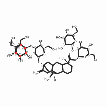 C=C1CC2C3CC4C(CCC[C@@]4(C)C(=O)O[C@@H]4O[C@H](CO)[C@@H](O)[C@H](O)[C@H]4O[C@@H]4O[C@H](CO)[C@@H](O)[C@H](O)[C@H]4O)C2[C@@H](C)C[C@]1(O[C@@H]1O[C@H](CO)[C@@H](O)[C@H](O[C@@H]2O[C@H](CO)[C@@H](O)[C@H](O)[C@H]2O)[C@H]1O[C@@H]1O[C@H](CO)[C@@H](O)[C@H](O)[C@H]1O)C3